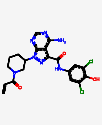 C=CC(=O)N1CCCC(n2nc(C(=O)Nc3cc(Cl)c(O)c(Cl)c3)c3c(N)ncnc32)C1